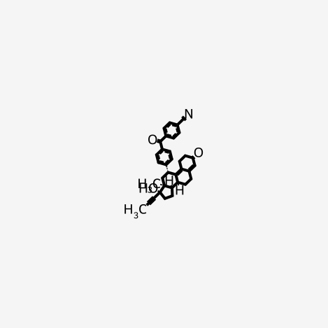 CC#C[C@@]1(O)CC[C@H]2[C@@H]3CCC4=CC(=O)CCC4=C3[C@@H](c3ccc(C(=O)c4ccc(C#N)cc4)cc3)C[C@@]21C